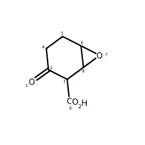 O=C(O)C1C(=O)CCC2OC21